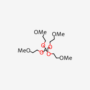 COCC[O][Al-]([O]CCOC)([O]CCOC)[O]CCOC